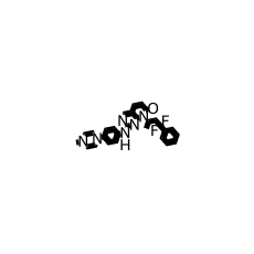 CC(CC(F)(F)c1ccccc1)n1c(=O)ccc2cnc(Nc3ccc(N4CCN(C)CC4)cc3)nc21